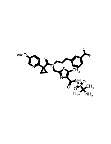 COc1ccc(C2(C(=O)N(CCCc3cccc(C(F)F)c3)Cc3nc(C(=O)NS(=O)(=O)C(C)(C)N)c(C)s3)CC2)nc1